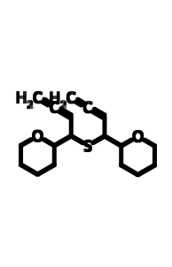 C=C=CC(SC(C=C=C)C1CCCCO1)C1CCCCO1